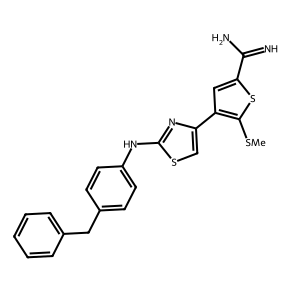 CSc1sc(C(=N)N)cc1-c1csc(Nc2ccc(Cc3ccccc3)cc2)n1